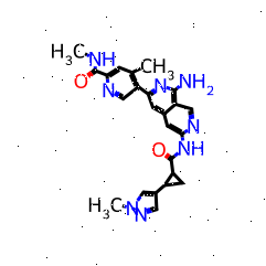 CNC(=O)c1cc(C)c(-c2cc3cc(NC(=O)C4CC4c4cnn(C)c4)ncc3c(N)n2)cn1